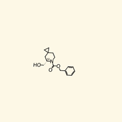 O=C(OCc1ccccc1)N1CCC2(CC2)C[C@H]1CO